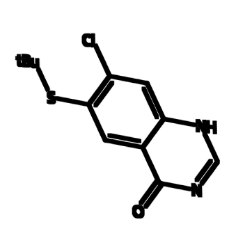 CC(C)(C)Sc1cc2c(=O)nc[nH]c2cc1Cl